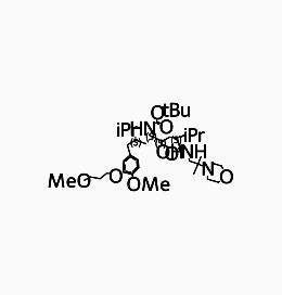 COCCCOc1cc(C[C@@H](C[C@H](NC(=O)OC(C)(C)C)[C@@H](O)C[C@H](C(=O)NCC(C)(C)N2CCOCC2)C(C)C)C(C)C)ccc1OC